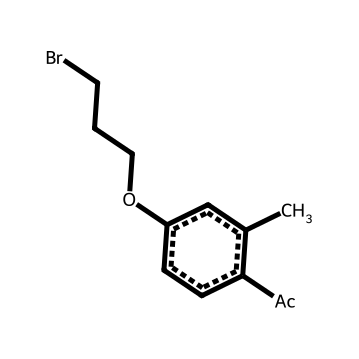 CC(=O)c1ccc(OCCCBr)cc1C